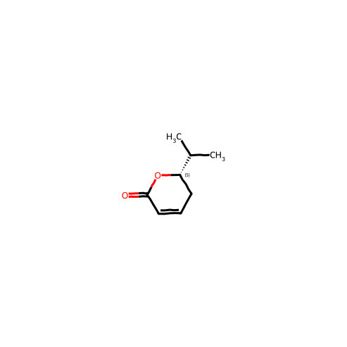 CC(C)[C@@H]1CC=CC(=O)O1